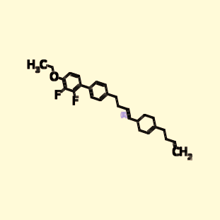 C=CCCC1=CCC(/C=C/CCc2ccc(-c3ccc(OCC)c(F)c3F)cc2)CC1